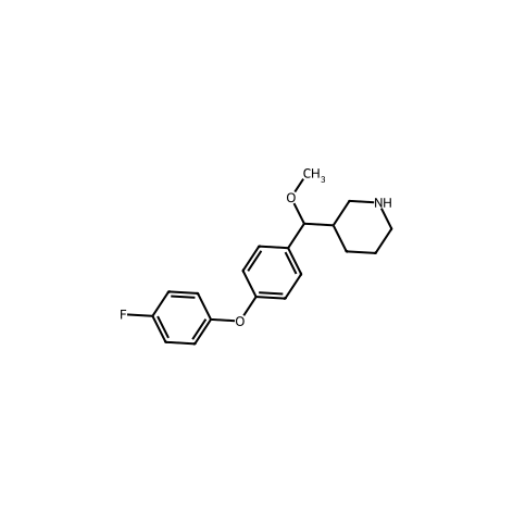 COC(c1ccc(Oc2ccc(F)cc2)cc1)C1CCCNC1